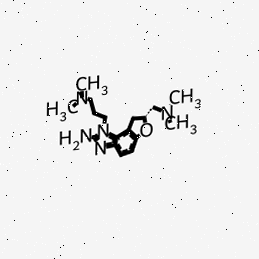 CN(C)CCCn1c(N)nc2ccc3c(c21)C[C@H](CN(C)C)O3